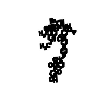 CCc1ccc2c(P(C)(C)=O)c(Nc3nc(Nc4cc(CC)c(N5CCC(N6CCN(CCc7cccc8c7n(C)c(=O)n8C7CCC(=O)NC7=O)CC6)CC5)cc4OC4CC4)ncc3Br)ccc2n1